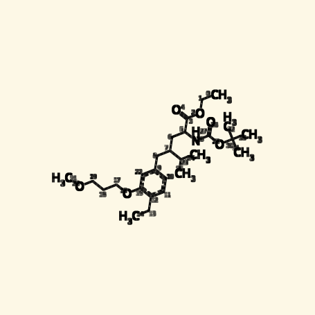 CCOC(=O)C(CC(Cc1ccc(CC)c(OCCCOC)c1)C(C)C)NC(=O)OC(C)(C)C